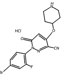 Cl.N#Cc1nn(-c2ccc(Br)cc2F)c(=O)cc1OC1CCNCC1